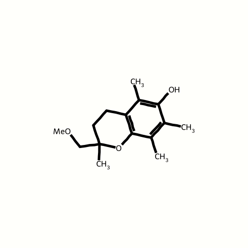 COCC1(C)CCc2c(C)c(O)c(C)c(C)c2O1